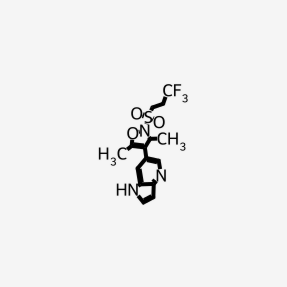 CC1=C(c2cnc3cc[nH]c3c2)C(C)N(S(=O)(=O)CCC(F)(F)F)O1